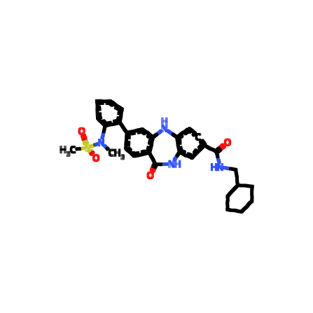 CN(c1ccccc1-c1ccc2c(c1)Nc1ccc(C(=O)NCC3CCCCC3)cc1NC2=O)S(C)(=O)=O